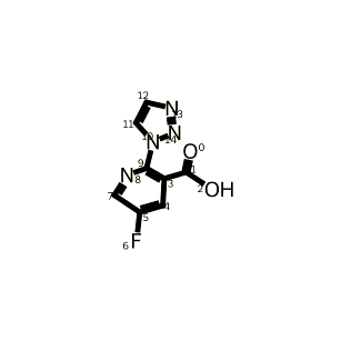 O=C(O)c1cc(F)cnc1-n1ccnn1